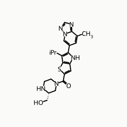 Cc1cc(-c2[nH]c3cc(C(=O)N4CCN[C@@H](CO)C4)sc3c2C(C)C)cn2ncnc12